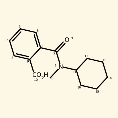 CN(C(=O)c1ccccc1C(=O)O)C1CCCCC1